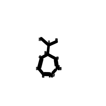 CC(C)C1C=CC=NN=C1